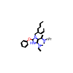 C=CN(C)C1=C(C(=C)N(C)CCC)N(CC(/C=C\C)=C/C=C/C)C(Oc2ccccc2)N1